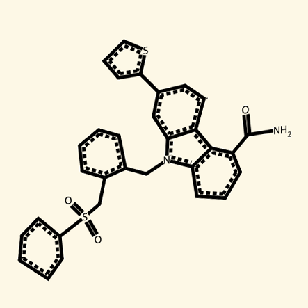 NC(=O)c1cccc2c1c1[c]cc(-c3cccs3)cc1n2Cc1ccccc1CS(=O)(=O)c1ccccc1